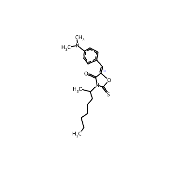 CCCCCCC(C)N1C(=O)/C(=C\c2ccc(N(C)C)cc2)OC1=S